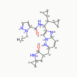 CCn1nccc1C(=O)N[C@H](c1cn2nc(CC3CC4(CC4)NC3=O)ccc2n1)C(C1CC1)C1CC1